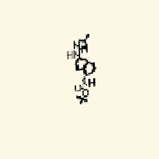 Cc1cnc(Nc2ccc3c(c2)CCC[C@H]3CNC(=O)OC(C)(C)C)nc1